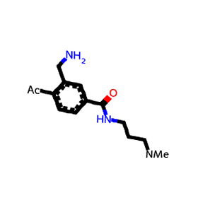 CNCCCNC(=O)c1ccc(C(C)=O)c(CN)c1